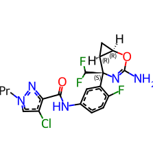 CC(C)n1cc(Cl)c(C(=O)Nc2ccc(F)c([C@@]3(C(F)F)N=C(N)O[C@@H]4C[C@@H]43)c2)n1